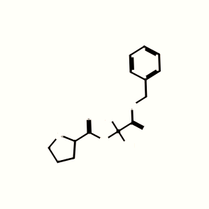 CC(C)(OC(=O)C1CCCN1)C(=O)OCc1ccccc1